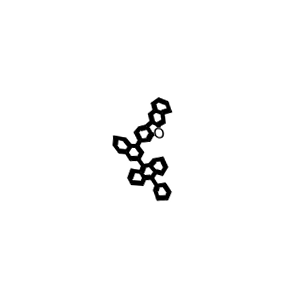 c1ccc(-c2c3ccccc3c(-c3cc(-c4ccc5c(c4)oc4cc6ccccc6cc45)c4ccccc4c3)c3ccccc23)cc1